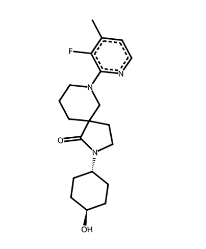 Cc1ccnc(N2CCCC3(CCN([C@H]4CC[C@H](O)CC4)C3=O)C2)c1F